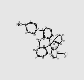 N#Cc1ccc(-c2cccc3c2Oc2ccccc2C32C3=C(C4=C2CCC=C4)C(Cl)CC=C3)cc1